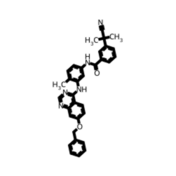 Cc1ccc(NC(=O)c2cccc(C(C)(C)C#N)c2)cc1Nc1ncnc2cc(OCc3ccccc3)ccc12